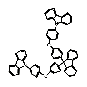 c1ccc2c(c1)-c1ccccc1C2(c1ccc(Oc2ccc(-n3c4ccccc4c4ccccc43)cc2)cc1)c1ccc(Oc2ccc(-n3c4ccccc4c4ccccc43)cc2)cc1